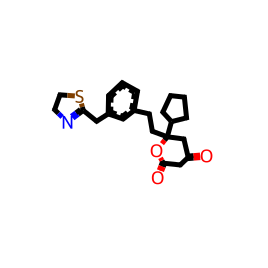 O=C1CC(=O)OC(CCc2cccc(CC3=NCCS3)c2)(C2CCCC2)C1